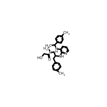 Cc1ccc(CC(CN(C)C(=O)CO)Nc2ncccc2NC(C)c2ccc(C)cc2)cc1